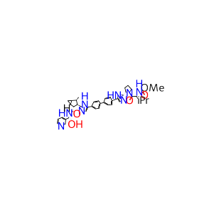 COC(=O)NC(C(=O)N1CCC[C@H]1c1ncc(-c2ccc(-c3ccc(-c4cnc([C@H]5[C@H](C(=O)N[C@H](CO)c6cccnc6)[C@@H]6CC6[C@H]5C)[nH]4)cc3)cc2)[nH]1)C(C)C